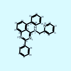 c1ccc(-c2nc(NCc3ccccn3)c3c(-c4ccccc4)cccc3n2)cc1